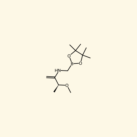 C=C(NCB1OC(C)(C)C(C)(C)O1)[C@H](C)OC